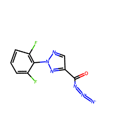 [N-]=[N+]=NC(=O)c1cnn(-c2c(F)cccc2F)n1